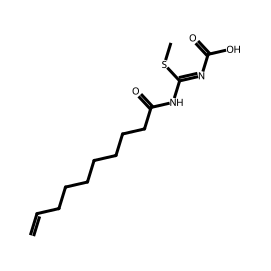 C=CCCCCCCCC(=O)NC(=NC(=O)O)SC